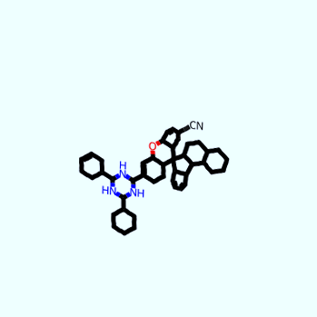 N#CC1C=CC2OC3C=C(C4NC(C5CC=CCC5)NC(C5CCCCC5)N4)CCC3C3(C4C=CC=CC4C4C5CCCCC5CCC43)C2C1